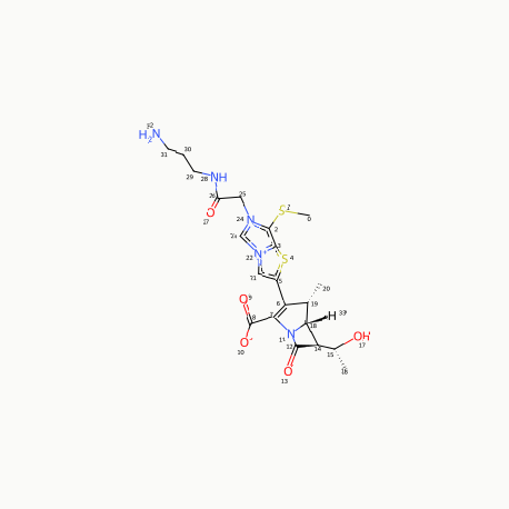 CSc1c2sc(C3=C(C(=O)[O-])N4C(=O)[C@H]([C@@H](C)O)[C@H]4[C@H]3C)c[n+]2cn1CC(=O)NCCCN